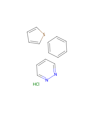 Cl.c1ccccc1.c1ccnnc1.c1ccsc1